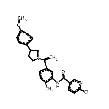 C=C(c1ccc(C)c(NC(=O)c2ccc(Cl)nc2)c1)N1CCC(c2ccc(OC)cc2)C1